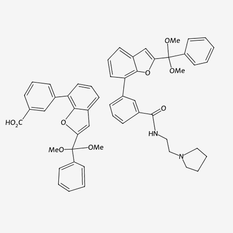 COC(OC)(c1ccccc1)c1cc2cccc(-c3cccc(C(=O)NCCN4CCCC4)c3)c2o1.COC(OC)(c1ccccc1)c1cc2cccc(-c3cccc(C(=O)O)c3)c2o1